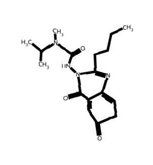 CCCCc1nc2c(c(=O)n1NC(=O)N(C)C(C)C)=CC(=O)CC=2